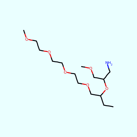 CCC(COCCOCCOCCOC)OC(CN)COC